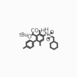 Cc1ccc(-c2c(C)cc(NS(=O)(=O)CC3CCCCC3)c(C)c2C(OC(C)(C)C)C(=O)O)cc1